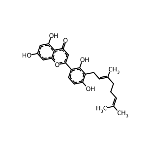 CC(C)=CCC/C(C)=C/Cc1c(O)ccc(-c2cc(=O)c3c(O)cc(O)cc3o2)c1O